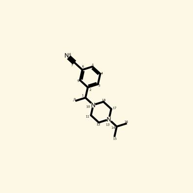 [CH2]C(c1cccc(C#N)c1)N1CCN(C(C)C)CC1